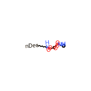 CCCCCCCCCCCCCCCCCNC(=O)OCC1COC(COC(=O)NCc2ccccn2)C1